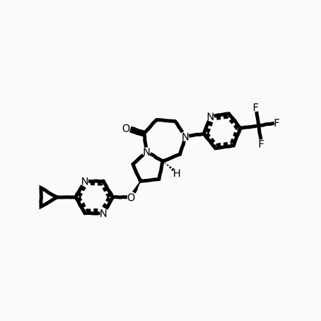 O=C1CCN(c2ccc(C(F)(F)F)cn2)C[C@H]2C[C@@H](Oc3cnc(C4CC4)cn3)CN12